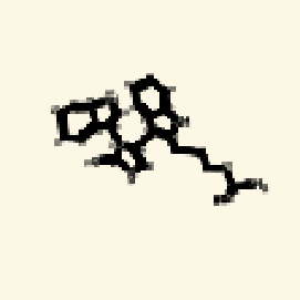 N=C(N)SCCCc1[nH]c2ccccc2c1C1=C[N]C(=O)N1c1c[nH]c2ccccc12